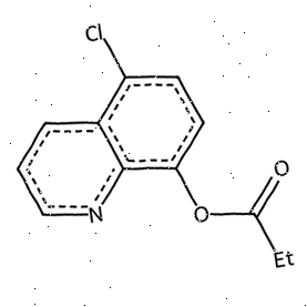 CCC(=O)Oc1ccc(Cl)c2cccnc12